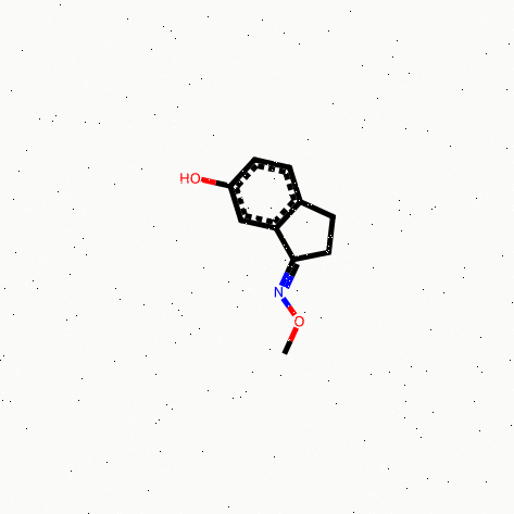 CON=C1CCc2ccc(O)cc21